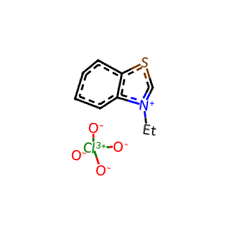 CC[n+]1csc2ccccc21.[O-][Cl+3]([O-])([O-])[O-]